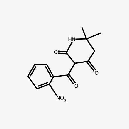 CC1(C)CC(=O)C(C(=O)c2ccccc2[N+](=O)[O-])C(=O)N1